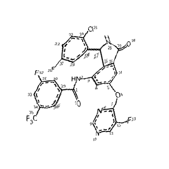 O=C(Nc1cc(Oc2ncncc2F)cc2c1C(c1cc(F)ccc1Cl)NC2=O)c1cc(F)cc(C(F)(F)F)c1